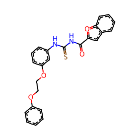 O=C(NC(=S)Nc1cccc(OCCOc2ccccc2)c1)c1cc2ccccc2o1